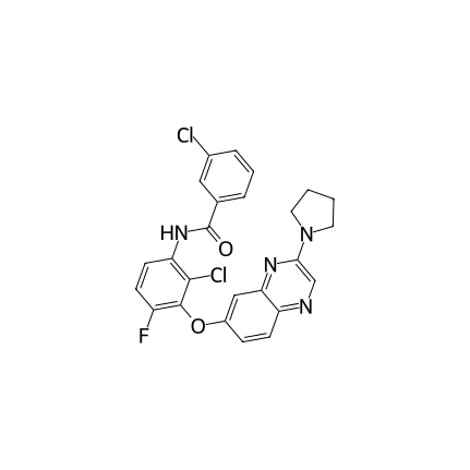 O=C(Nc1ccc(F)c(Oc2ccc3ncc(N4CCCC4)nc3c2)c1Cl)c1cccc(Cl)c1